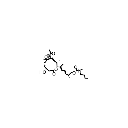 CCCCN(C)C(=O)OC[C@@H](C)/C=C/C=C(\C)[C@H]1OC(=O)C[C@@H](O)CC[C@](C)(O)[C@H](OC(C)=O)/C=C/[C@@H]1C